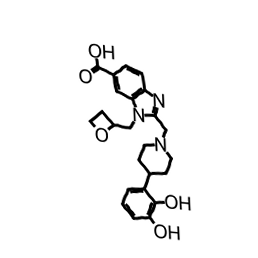 O=C(O)c1ccc2nc(CN3CCC(c4cccc(O)c4O)CC3)n(CC3CCO3)c2c1